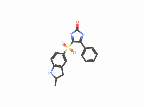 CC1Cc2cc(S(=O)(=O)C3=NC(=O)N=C3c3ccccc3)ccc2N1